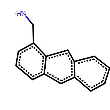 [NH]Cc1cccc2cc3ccccc3cc12